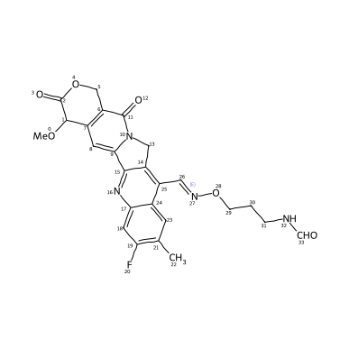 COC1C(=O)OCc2c1cc1n(c2=O)Cc2c-1nc1cc(F)c(C)cc1c2/C=N/OCCCNC=O